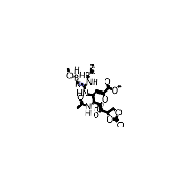 COB/N=C(\NBOC)NC1C=C(C(=O)OC)O[C@@H]([C@H](O)C2COC(=O)O2)[C@@H]1NC(C)=O